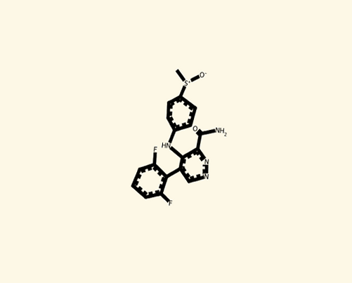 C[S+]([O-])c1ccc(Nc2c(-c3c(F)cccc3F)cnnc2C(N)=O)cc1